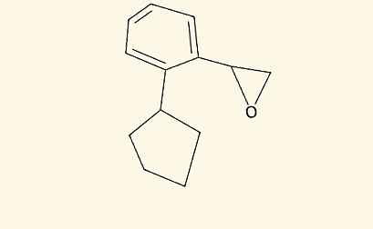 c1ccc(C2CO2)c(C2CCCC2)c1